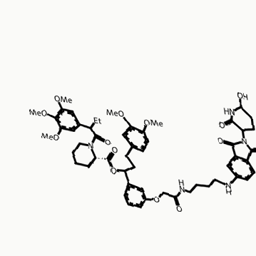 CCC(C(=O)N1CCCC[C@H]1C(=O)OC(CCc1ccc(OC)c(OC)c1)c1cccc(OCC(=O)NCCCCNc2ccc3c(c2)C(=O)N(C2CCC(O)NC2=O)C3=O)c1)c1cc(OC)c(OC)c(OC)c1